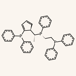 C[C@H]([C@@H]1C=CC=C1P(c1ccccc1)c1ccccc1)[P@@](CCP(c1ccccc1)c1ccccc1)c1ccccc1